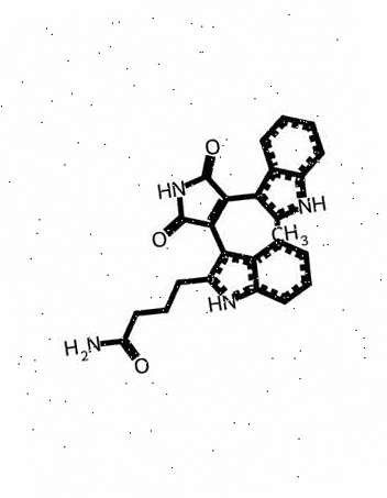 Cc1[nH]c2ccccc2c1C1=C(c2c(CCCC(N)=O)[nH]c3ccccc23)C(=O)NC1=O